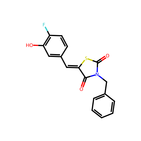 O=C1S/C(=C\c2ccc(F)c(O)c2)C(=O)N1Cc1ccccc1